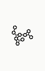 c1ccc(-c2cccc(-n3c4ccc(-c5ccc6c(c5)-c5ccccc5C6c5ccccc5)cc4c4c3ccc3c5ccccc5n(-c5ccccc5)c34)c2)cc1